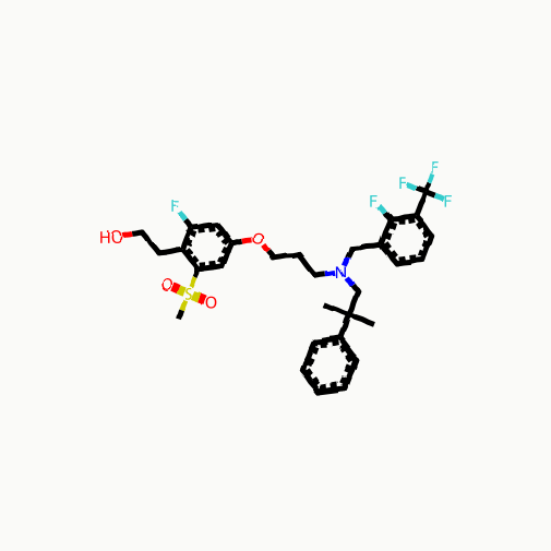 CC(C)(CN(CCCOc1cc(F)c(CCO)c(S(C)(=O)=O)c1)Cc1cccc(C(F)(F)F)c1F)c1ccccc1